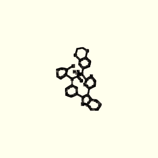 NC(=O)N(c1cccc(-c2nn3ccccc3c2-c2ccnc(Nc3ccc4c(c3)OCCO4)n2)c1)c1ccccc1Cl